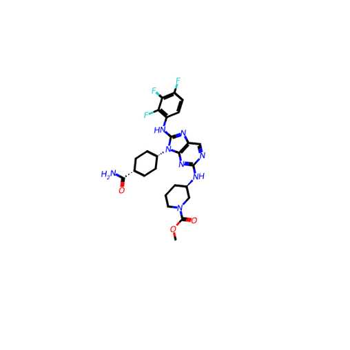 COC(=O)N1CCC[C@@H](Nc2ncc3nc(Nc4ccc(F)c(F)c4F)n([C@H]4CC[C@@H](C(N)=O)CC4)c3n2)C1